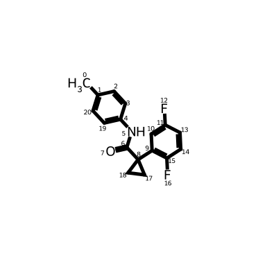 Cc1ccc(NC(=O)C2(c3cc(F)ccc3F)CC2)cc1